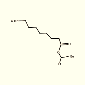 CCCCCCCCCCCCCCCCCC(=O)OC(CC)CCCC